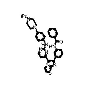 CC(C)N1CCN(c2ccc(Nc3nccc(-c4c(-c5cccc(NC(=O)c6ccccc6)c5)nc5sccn45)n3)cc2)CC1